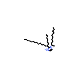 CCCCCCCCCCCCCC(CCCCCC)c1[nH]cc[n+]1C(C)CCCCCCCCC